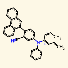 C=C/C=C(\C=C/C)N(c1ccccc1)c1ccc(-c2cc3ccccc3c3ccccc23)c(C#N)c1